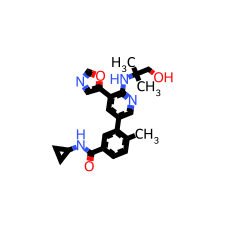 Cc1ccc(C(=O)NC2CC2)cc1-c1cnc(NC(C)(C)CO)c(-c2cnco2)c1